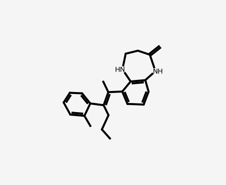 C=C1CCNc2c(cccc2/C(C)=C(\CCC)c2ccccc2C)N1